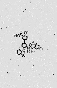 COc1ccc(Cl)cc1NC(=O)Nc1cc(-c2ccc(OC)c(C(=O)O)c2)ccc1Oc1ccccc1C(C)(C)C